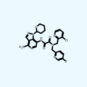 Nc1ncc(NC(=O)C(=O)N(Cc2ccc(F)cn2)Cc2ncccc2Cl)c2c1cnn2C1CCCCO1